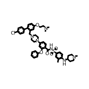 Cc1cc(S(=O)(=O)NC(=O)c2ccc(N3CCN(Cc4cc(OCCN(C)C)ccc4-c4ccc(Cl)cc4)CC3)cc2Oc2ccccc2)ccc1NC1CCN(C)CC1